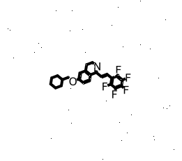 Fc1c(F)c(F)c(/C=C/C2=NCCc3cc(OCC4CCCCC4)ccc32)c(F)c1F